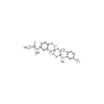 CC[C@@H](c1cc(C(F)(F)F)ccc1C(F)(F)F)N1CCC2(CCc3ccc([C@H](O)[C@H](C)C(=O)O)cc3O2)CC1